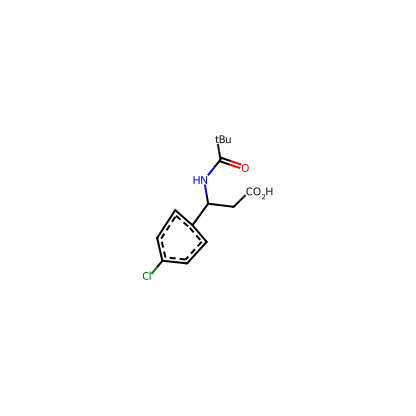 CC(C)(C)C(=O)NC(CC(=O)O)c1ccc(Cl)cc1